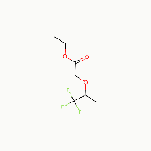 CCOC(=O)COC(C)C(F)(F)F